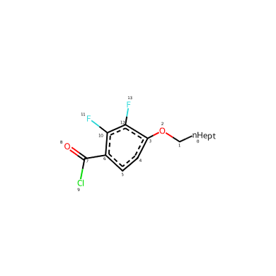 CCCCCCCCOc1ccc(C(=O)Cl)c(F)c1F